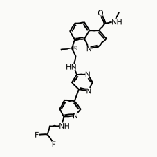 CNC(=O)c1ccnc2c([C@H](C)CNc3cc(-c4ccc(NCC(F)F)nc4)ncn3)cccc12